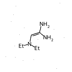 CCN(C=C(N)N)CC